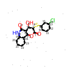 O=c1oc2c(c(O)c1Sc1cccc(Cl)c1)c(=O)[nH]c1ccccc12